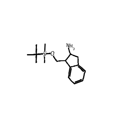 CC(C)(C)[Si](C)(C)OCC1c2ccccc2CC1N